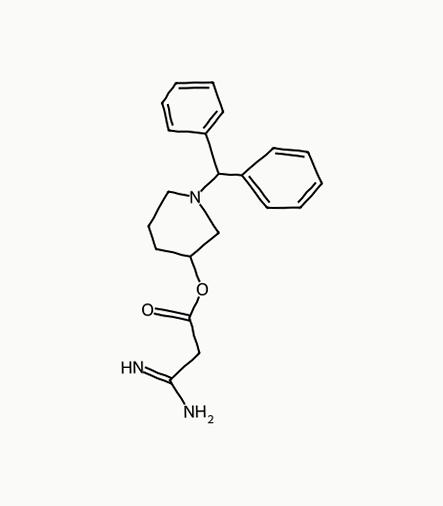 N=C(N)CC(=O)OC1CCCN(C(c2ccccc2)c2ccccc2)C1